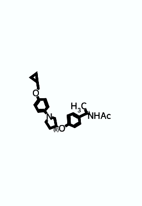 CC(=O)N[C@@H](C)c1ccc(O[C@@H]2CCN(c3ccc(OCC4CC4)cc3)C2)cc1